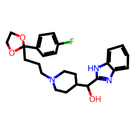 OC(c1nc2ccccc2[nH]1)C1CCN(CCCC2(c3ccc(F)cc3)OCCO2)CC1